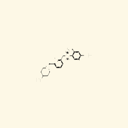 CCCC1CCN(C(=O)c2cccc(CS(=O)(=O)c3cc(Cl)c(C)cc3Cl)n2)CC1